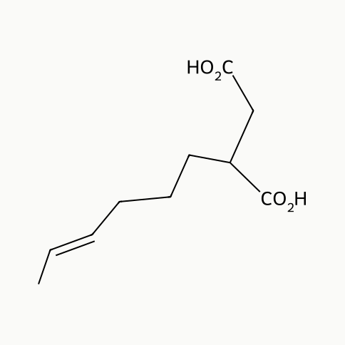 CC=CCCCC(CC(=O)O)C(=O)O